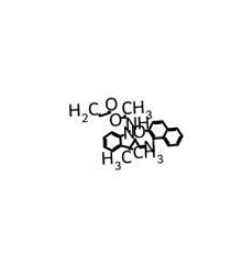 C=CC(=O)OC(C)NN1c2ccccc2C(C)(C)C12C=Nc1c(ccc3ccccc13)O2